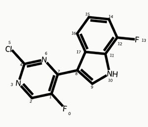 Fc1cnc(Cl)nc1-c1c[nH]c2c(F)cccc12